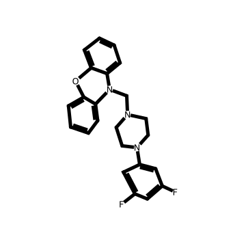 Fc1cc(F)cc(N2CCN(CN3c4ccccc4Oc4ccccc43)CC2)c1